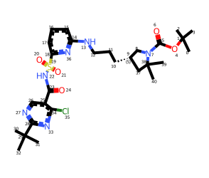 CC(C)(C)OC(=O)N1C[C@@H](CCCNc2cccc(S(=O)(=O)NC(=O)c3cnc(C(C)(C)C)nc3Cl)n2)CC1(C)C